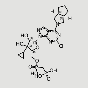 O=P(O)(O)CP(=O)(O)OC[C@H]1O[C@@H](n2ncc3c(N4C[C@H]5CCC[C@H]5C4)nc(Cl)nc32)[C@H](O)[C@@]1(O)C1CC1